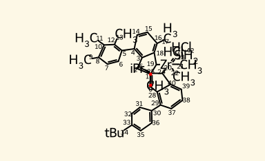 CC1=Cc2c(-c3ccc(C)c(C)c3C)ccc(C)c2[CH]1[Zr]([CH3])([CH3])(=[SiH2])[CH]1C(C(C)C)=Cc2c(-c3ccc(C(C)(C)C)cc3)cccc21.Cl.Cl